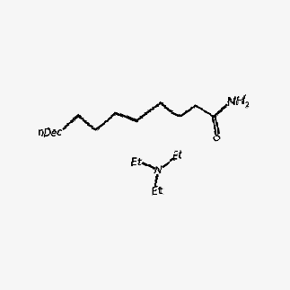 CCCCCCCCCCCCCCCCCC(N)=O.CCN(CC)CC